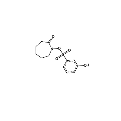 O=C1CCCCCN1OS(=O)(=O)c1cccc(O)c1